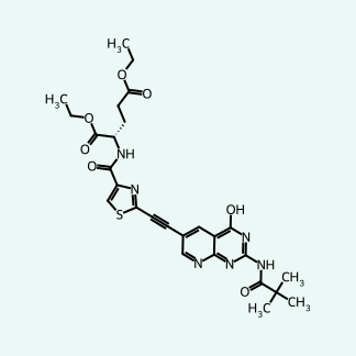 CCOC(=O)CC[C@H](NC(=O)c1csc(C#Cc2cnc3nc(NC(=O)C(C)(C)C)nc(O)c3c2)n1)C(=O)OCC